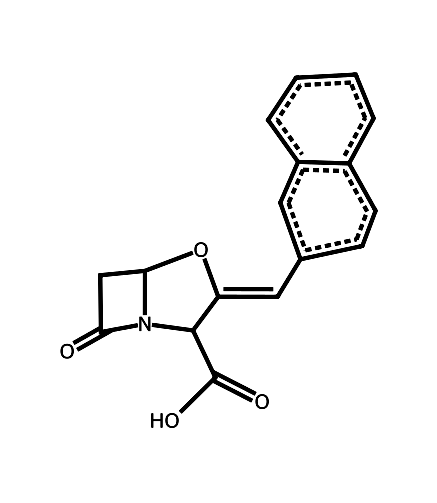 O=C(O)C1C(=Cc2ccc3ccccc3c2)OC2CC(=O)N21